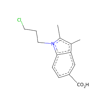 Cc1c(C)n(CCCCl)c2ccc(C(=O)O)cc12